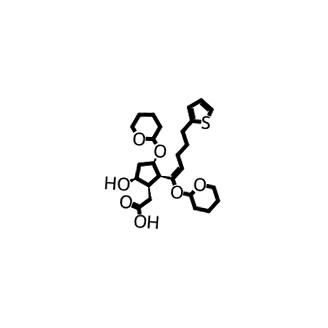 O=C(O)C[C@@H]1[C@H](C(=CCCCc2cccs2)OC2CCCCO2)[C@@H](OC2CCCCO2)C[C@@H]1O